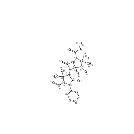 COC(=O)C1N2C(=O)C(N3C(=O)C(c4ccccc4)N(N=O)C3(C)C)[C@H]2[S+]([O-])C1(C)C